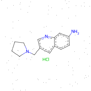 Cl.Nc1ccc2cc(CN3CCCC3)cnc2c1